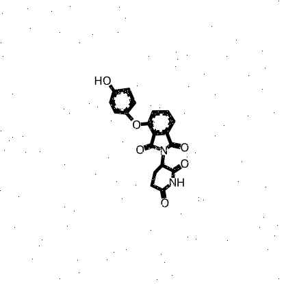 O=C1CCC(N2C(=O)c3cccc(Oc4ccc(O)cc4)c3C2=O)C(=O)N1